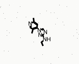 CCNc1ncn(-c2cc(C)ncc2C)n1